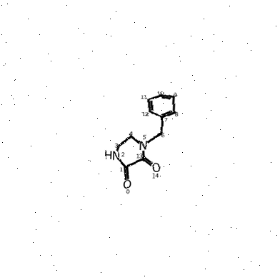 O=C1NCCN(Cc2ccccc2)C1=O